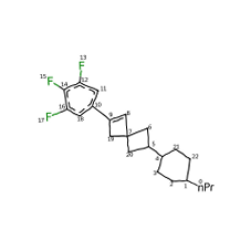 CCCC1CCC(C2CC3(C=C(c4cc(F)c(F)c(F)c4)C3)C2)CC1